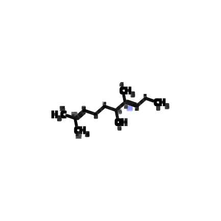 CC/C=C(\C)C(O)CCC=C(C)C